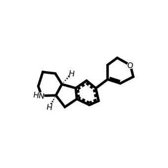 C1=C(c2ccc3c(c2)[C@@H]2CCCN[C@@H]2C3)CCOC1